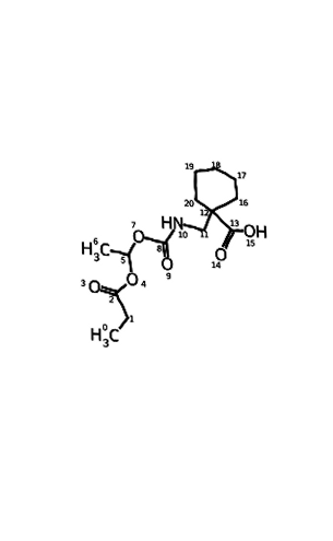 CCC(=O)OC(C)OC(=O)NCC1(C(=O)O)CCCCC1